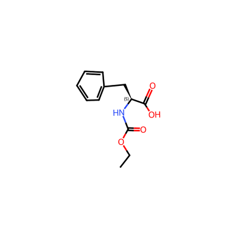 CCOC(=O)N[C@@H](Cc1ccccc1)C(=O)O